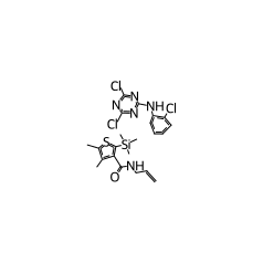 C=CCNC(=O)c1c([Si](C)(C)C)sc(C)c1C.Clc1nc(Cl)nc(Nc2ccccc2Cl)n1